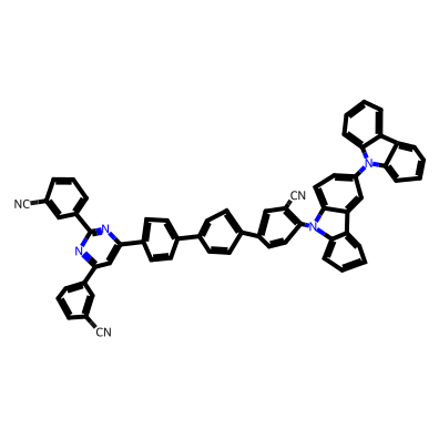 N#Cc1cccc(-c2cc(-c3ccc(-c4ccc(-c5ccc(-n6c7ccccc7c7cc(-n8c9ccccc9c9ccccc98)ccc76)c(C#N)c5)cc4)cc3)nc(-c3cccc(C#N)c3)n2)c1